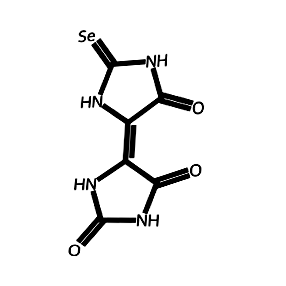 O=C1NC(=O)C(=C2NC(=[Se])NC2=O)N1